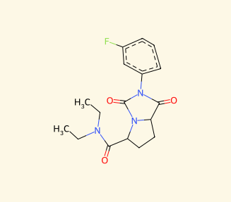 CCN(CC)C(=O)C1CCC2C(=O)N(c3cccc(F)c3)C(=O)N12